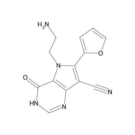 N#Cc1c(-c2ccco2)n(CCN)c2c(=O)[nH]cnc12